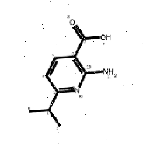 CC(C)c1ccc(C(=O)O)c(N)n1